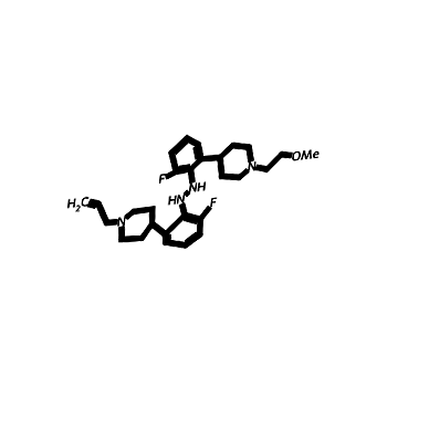 C=CCN1CCC(c2cccc(F)c2NNc2c(F)cccc2C2CCN(CCOC)CC2)CC1